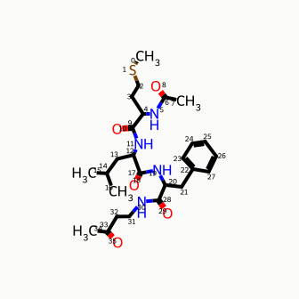 CSCCC(NC(C)=O)C(=O)NC(CC(C)C)C(=O)NC(Cc1ccccc1)C(=O)NCCC(C)=O